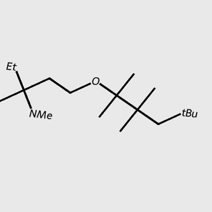 CCC(C)(CCOC(C)(C)C(C)(C)CC(C)(C)C)NC